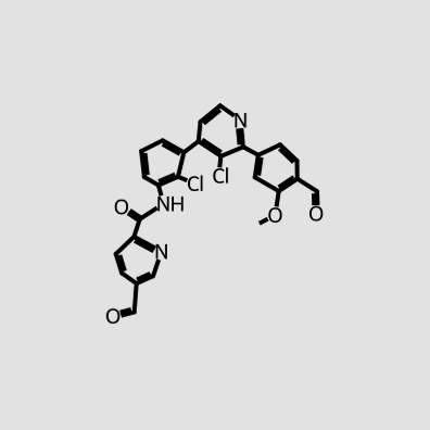 COc1cc(-c2nccc(-c3cccc(NC(=O)c4ccc(C=O)cn4)c3Cl)c2Cl)ccc1C=O